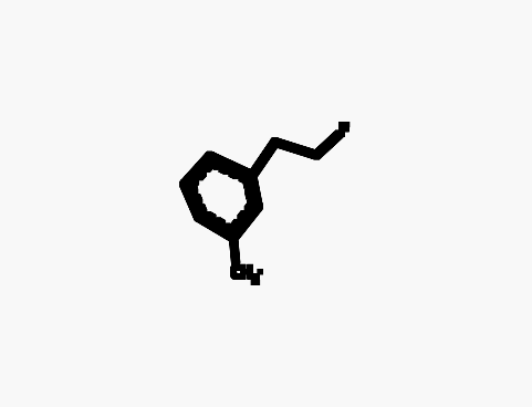 [CH2]c1cccc(CCF)c1